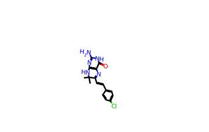 CC1(C)Nc2nc(N)[nH]c(=O)c2N=C1C=Cc1ccc(Cl)cc1